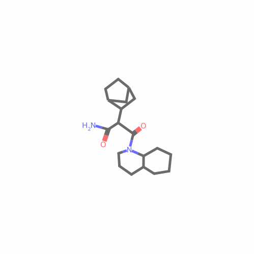 NC(=O)C(C(=O)N1CCCC2CCCCC21)C1CC2CCC1C2